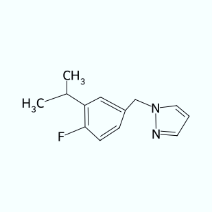 CC(C)c1cc(Cn2cccn2)ccc1F